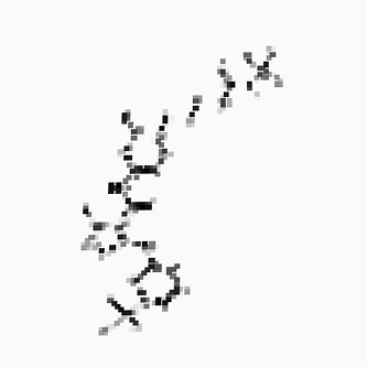 Cc1nsc(Nc2cncc(C(F)(F)F)n2)c1C(=O)Nc1ccc(OCCNC(=O)OC(C)(C)C)c(F)c1